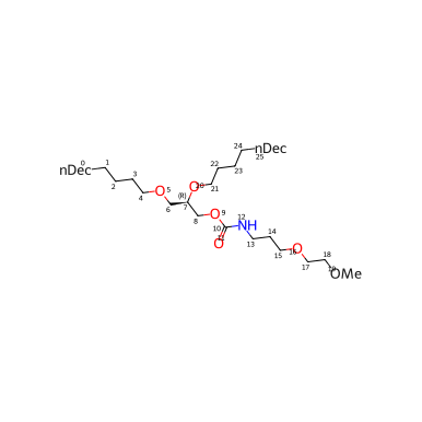 CCCCCCCCCCCCCCOC[C@H](COC(=O)NCCCOCCOC)OCCCCCCCCCCCCCC